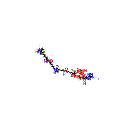 CC(C)(COP(=O)(O)OP(=O)(O)OC[C@H]1O[C@@H](n2cnc3c(N)ncnc32)[C@@H](O)C1OP(=O)(O)O)[C@@H](O)C(=O)NCCC(=O)NCCS[C@@H]1CC(=O)N(CCCCCC(=O)NNC(=O)CCCC[C@@H]2SC[C@@H]3NC(=O)N[C@@H]32)C1=O